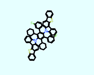 Fc1cccc(-c2c(C3CCCCC3)c(-n3c4ccccc4c4c5sc6ccccc6c5ccc43)c(C3CCCCC3)c(-c3cccc(F)c3)c2-n2c3ccccc3c3c4sc5ccccc5c4ccc32)c1